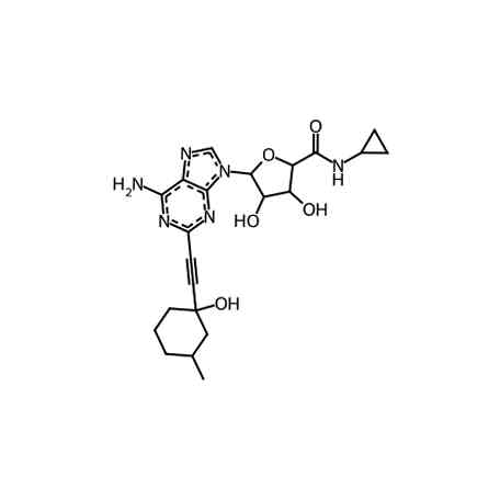 CC1CCCC(O)(C#Cc2nc(N)c3ncn(C4OC(C(=O)NC5CC5)C(O)C4O)c3n2)C1